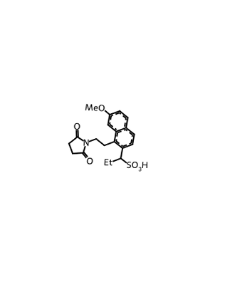 CCC(c1ccc2ccc(OC)cc2c1CCN1C(=O)CCC1=O)S(=O)(=O)O